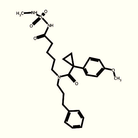 CNS(=O)(=O)NC(=O)CCCCN(CCCc1ccccc1)C(=O)C1(c2ccc(OC)cc2)CC1